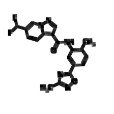 Cc1noc(-c2ccc(C)c(NC(=O)c3cnn4cc(C(F)F)ccc34)c2)n1